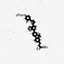 CCCCCc1ccc(-c2ccc(-c3ccc(-c4ccc5c(c4)C(C)(C)c4cc(CCC(CC)CCCC)ccc4-5)c4nsnc34)s2)c(F)c1